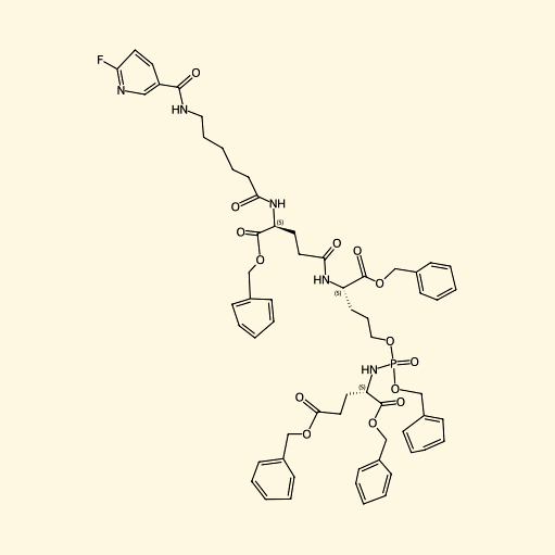 O=C(CC[C@H](NC(=O)CCCCCNC(=O)c1ccc(F)nc1)C(=O)OCc1ccccc1)N[C@@H](CCCOP(=O)(N[C@@H](CCC(=O)OCc1ccccc1)C(=O)OCc1ccccc1)OCc1ccccc1)C(=O)OCc1ccccc1